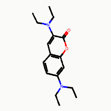 CCN(CC)c1ccc2cc(N(CC)CC)c(=O)oc2c1